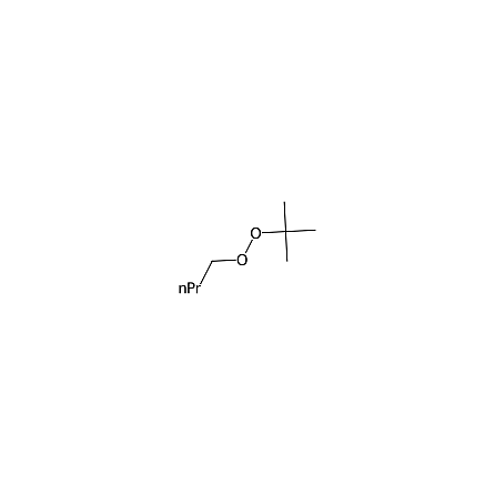 C[CH]CCOOC(C)(C)C